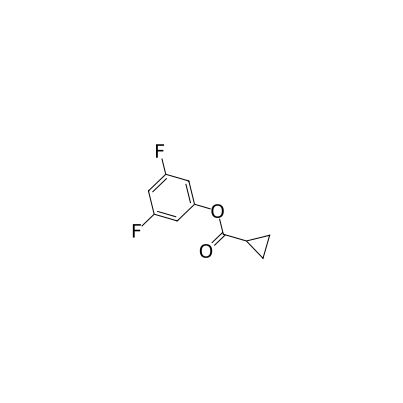 O=C(Oc1cc(F)cc(F)c1)C1CC1